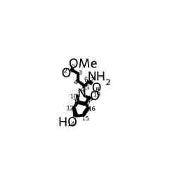 COC(=O)CCC(C(N)=O)N1Cc2cc(O)ccc2C1=O